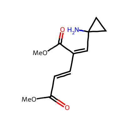 COC(=O)C=CC(=CC1(N)CC1)C(=O)OC